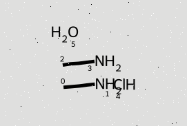 CN.CN.Cl.O